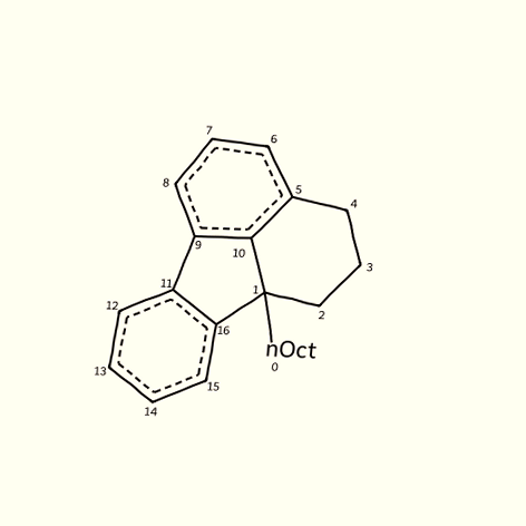 CCCCCCCCC12CCCc3cccc(c31)-c1ccccc12